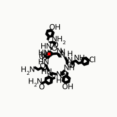 NCCCC[C@@H]1NC(=O)[C@@H](Cc2ccc(C(N)=O)cc2)NC(=O)[C@H](Cc2ccc(O)cc2)NC(=O)[C@H](NC(=O)[C@@H](N)Cc2ccc(Cl)cc2)Cn2cc(nn2)C2[C@@H](C(=O)N[C@H](Cc3ccc(O)cc3)C(N)=O)NC(=O)[C@@H](NC1=O)[C@@H]2O